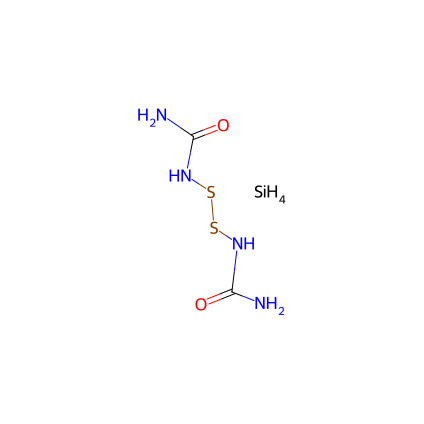 NC(=O)NSSNC(N)=O.[SiH4]